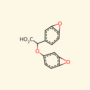 O=C(O)C(Oc1ccc2c(c1)O2)c1ccc2c(c1)O2